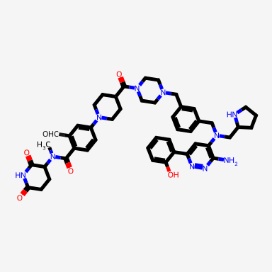 CN(C(=O)c1ccc(N2CCC(C(=O)N3CCN(Cc4cccc(CN(CC5CCCN5)c5cc(-c6ccccc6O)nnc5N)c4)CC3)CC2)cc1C=O)C1CCC(=O)NC1=O